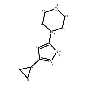 c1c(C2CC2)n[nH]c1N1CCOCC1